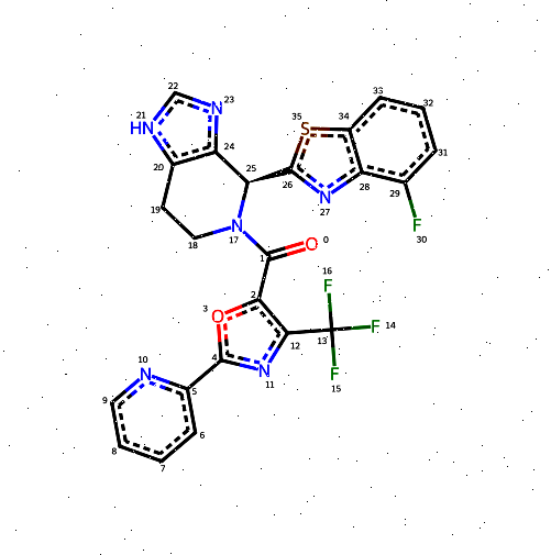 O=C(c1oc(-c2ccccn2)nc1C(F)(F)F)N1CCc2[nH]cnc2[C@H]1c1nc2c(F)cccc2s1